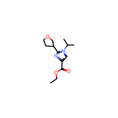 CCOC(=O)c1cn(C(C)C)c(C2CCOC2)n1